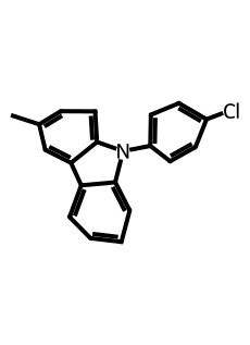 Cc1ccc2c(c1)c1ccccc1n2-c1ccc(Cl)cc1